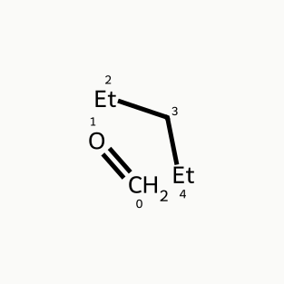 C=O.CCCCC